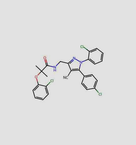 CC(C)(Oc1ccccc1Cl)C(=O)NCc1nn(-c2ccccc2Cl)c(-c2ccc(Cl)cc2)c1C#N